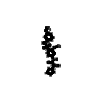 CCOc1cc(NC(=O)[C@H](O)C2CCCC2)ccc1S(=O)(=O)Nc1cccc(OC(F)(F)F)c1